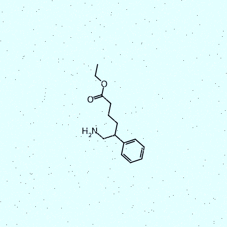 CCOC(=O)CCCC(CN)c1ccccc1